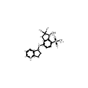 O=S(=O)(c1ccc(OC2CCc3ncccc32)c2c1[C@H](O)C(F)(F)C2)C(F)(F)F